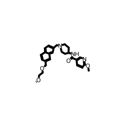 COCCOCc1ccc2ccc(CN3CCC(NC(=O)c4ccc(OC)nc4)CC3)cc2c1